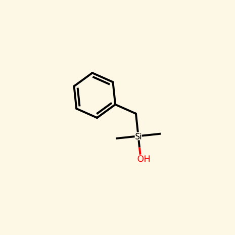 C[Si](C)(O)Cc1ccccc1